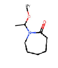 CC(C)OC(C)N1CCCCCC1=O